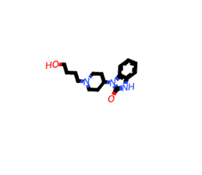 O=c1[nH]c2ccccc2n1C1CCN(CCCCO)CC1